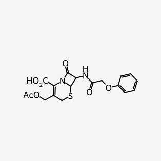 CC(=O)OCC1=C(C(=O)O)N2C(=O)C(NC(=O)COc3ccccc3)C2SC1